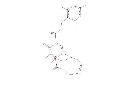 CCC1N2C(=O)c3c(O)c(=O)c(C(=O)NCc4c(F)cc(C)cc4F)cn3N1[C@H](C)C=C[C@@H]2C